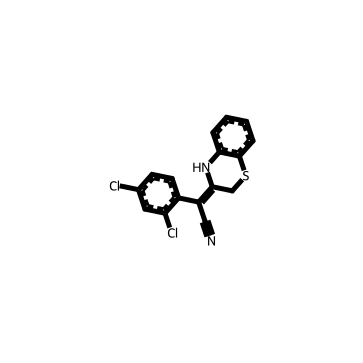 N#CC(=C1CSc2ccccc2N1)c1ccc(Cl)cc1Cl